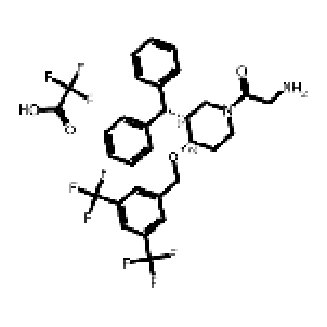 NCC(=O)N1CC[C@H](OCc2cc(C(F)(F)F)cc(C(F)(F)F)c2)[C@H](C(c2ccccc2)c2ccccc2)C1.O=C(O)C(F)(F)F